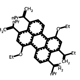 C=C(CC)c1cc(OCC)c2c3ccc(C(=C)CCC)c4c(C(=C)CCC)cc(OCC)c(c5ccc(C(=C)CCC)c1c52)c43